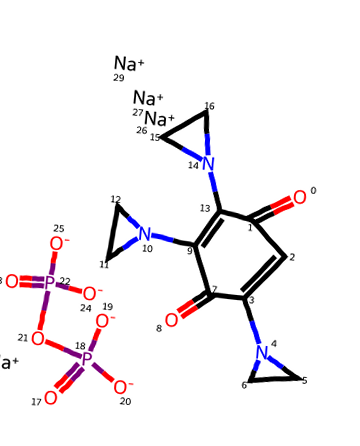 O=C1C=C(N2CC2)C(=O)C(N2CC2)=C1N1CC1.O=P([O-])([O-])OP(=O)([O-])[O-].[Na+].[Na+].[Na+].[Na+]